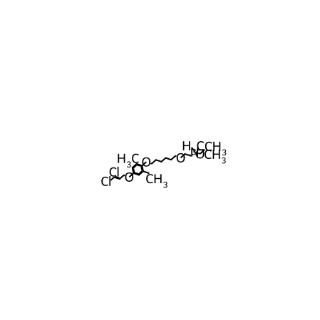 CCc1cc(OCC=C(Cl)Cl)cc(C)c1OCCCCCCOC/C=N/OC(C)(C)C